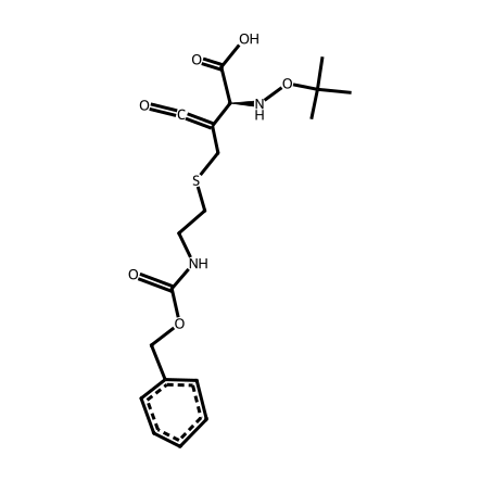 CC(C)(C)ON[C@H](C(=O)O)C(=C=O)CSCCNC(=O)OCc1ccccc1